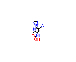 Cc1nc(-n2nccn2)c(C#N)cc1NC(=O)O